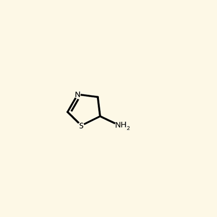 NC1CN=CS1